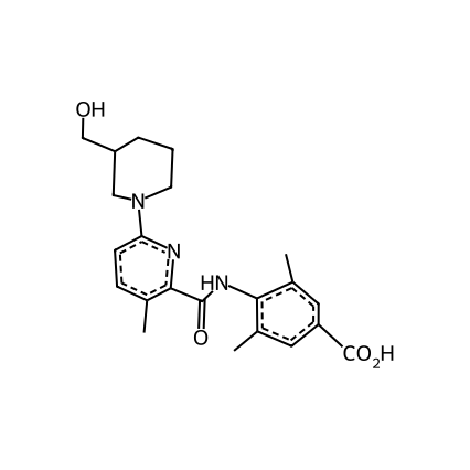 Cc1ccc(N2CCCC(CO)C2)nc1C(=O)Nc1c(C)cc(C(=O)O)cc1C